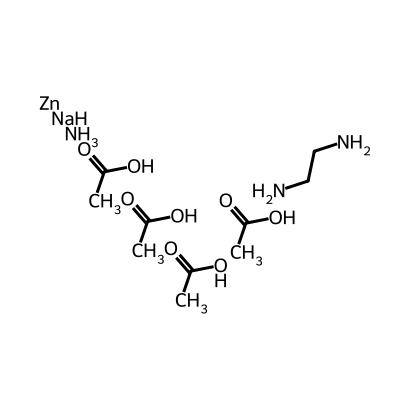 CC(=O)O.CC(=O)O.CC(=O)O.CC(=O)O.N.NCCN.[NaH].[Zn]